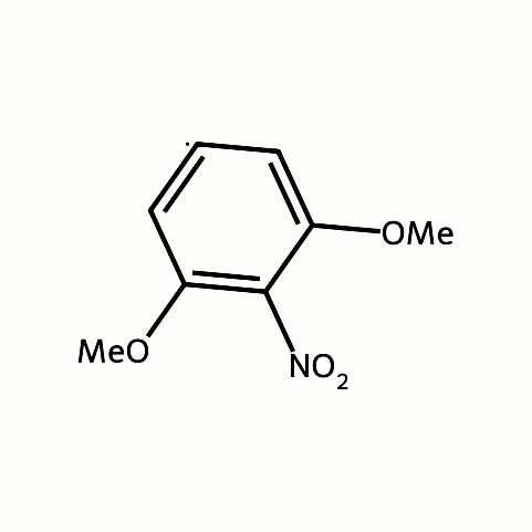 COc1c[c]cc(OC)c1[N+](=O)[O-]